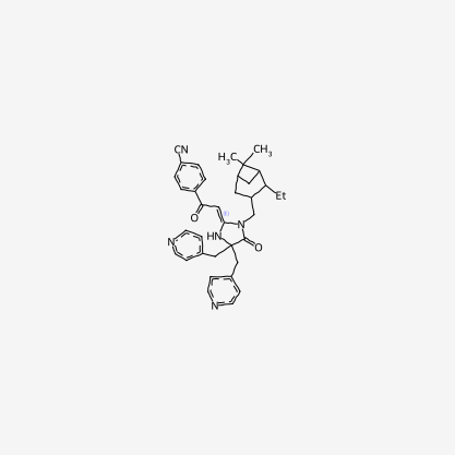 CCC1C(CN2C(=O)C(Cc3ccncc3)(Cc3ccncc3)N/C2=C\C(=O)c2ccc(C#N)cc2)CC2CC1C2(C)C